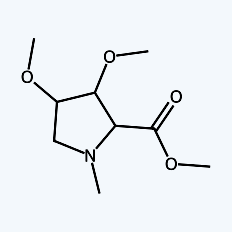 COC(=O)C1C(OC)C(OC)CN1C